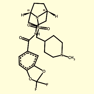 CN1CCC(CS(=O)(=O)N2[C@@H]3CC[C@H]2CC(NC(=O)c2ccc4c(c2)OC(F)(F)O4)C3)CC1